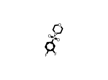 O=S(=O)(c1ccc(F)c(F)c1)N1CCOCC1